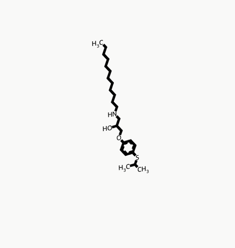 CCCCCCCCCCCCNCC(O)COc1ccc(SC(C)C)cc1